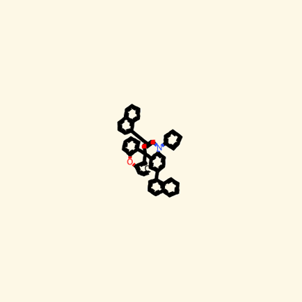 c1ccc(N2c3ccc(-c4cccc5ccccc45)cc3C3(c4ccccc4Oc4ccccc43)c3cc(-c4cccc5ccccc45)ccc32)cc1